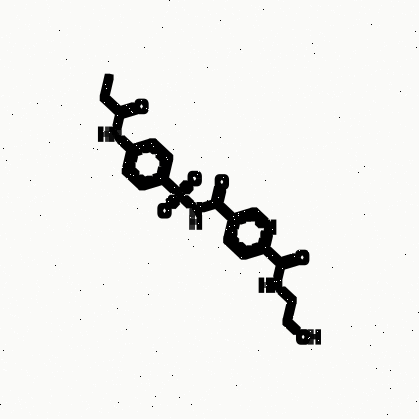 CCC(=O)Nc1ccc(S(=O)(=O)NC(=O)c2ccc(C(=O)NCCO)nc2)cc1